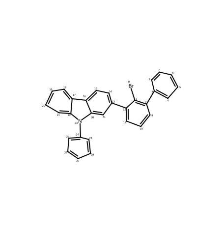 Brc1c(-c2ccccc2)cccc1-c1ccc2c3ccccc3n(-c3ccccc3)c2c1